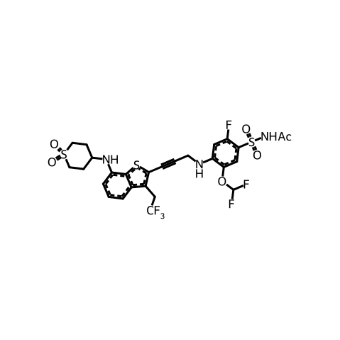 CC(=O)NS(=O)(=O)c1cc(OC(F)F)c(NCC#Cc2sc3c(NC4CCS(=O)(=O)CC4)cccc3c2CC(F)(F)F)cc1F